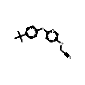 CC(C)(C)c1ccc(Oc2ccc(NCC#N)cn2)cc1